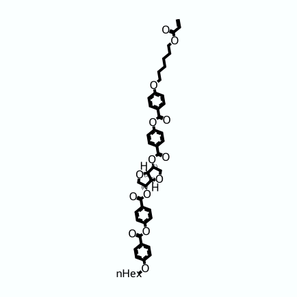 C=CC(=O)OCCCCCCOc1ccc(C(=O)Oc2ccc(C(=O)O[C@H]3CO[C@@H]4[C@H]3OC[C@H]4OC(=O)c3ccc(OC(=O)c4ccc(OCCCCCC)cc4)cc3)cc2)cc1